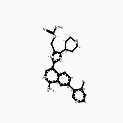 CNC(=O)OCc1nc(-c2cnc(N)c3cc(-c4cnccc4C)ccc23)sc1C1CCOCC1